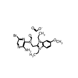 CCn1c(CN(C=O)c2nc(Br)cnc2N)[n+](CC)c2ccc(OC)cc21.O=C[O-]